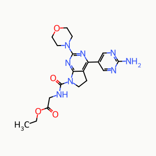 CCOC(=O)CNC(=O)N1CCc2c(-c3cnc(N)nc3)nc(N3CCOCC3)nc21